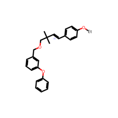 CCOc1ccc(/C=C/C(C)(C)COCc2cccc(Oc3ccccc3)c2)cc1